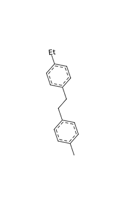 CCc1ccc(CCc2ccc(C)cc2)cc1